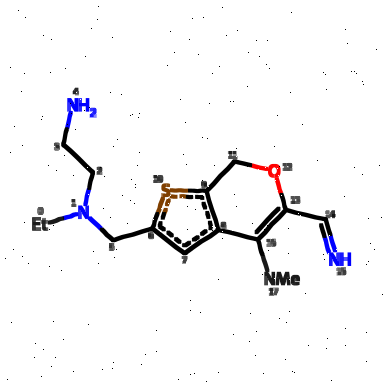 CCN(CCN)Cc1cc2c(s1)COC(C=N)=C2NC